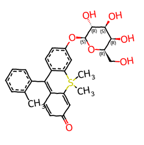 Cc1ccccc1C1=C2C=CC(=O)C=C2S(C)(C)c2cc(O[C@@H]3O[C@H](CO)[C@H](O)[C@H](O)[C@H]3O)ccc21